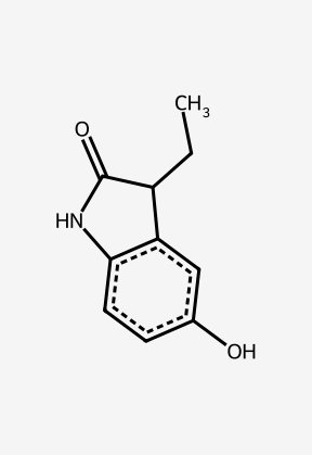 CCC1C(=O)Nc2ccc(O)cc21